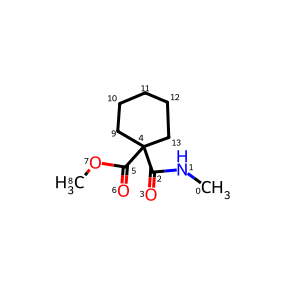 CNC(=O)C1(C(=O)OC)CCCCC1